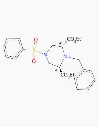 CCOC(=O)[C@H]1CN(S(=O)(=O)c2ccccc2)C[C@H](C(=O)OCC)N1Cc1ccccc1